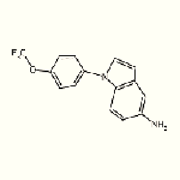 Nc1ccc2c(ccn2-c2ccc(OC(F)(F)F)cc2)c1